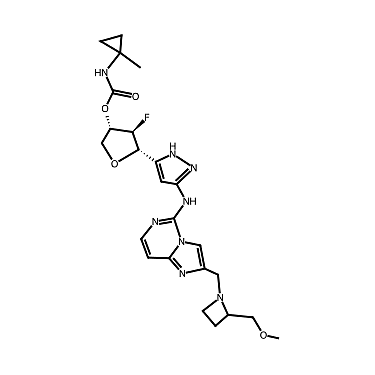 COCC1CCN1Cc1cn2c(Nc3cc([C@@H]4OC[C@H](OC(=O)NC5(C)CC5)[C@H]4F)[nH]n3)nccc2n1